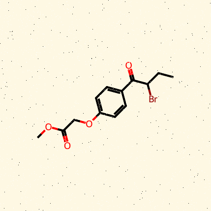 CCC(Br)C(=O)c1ccc(OCC(=O)OC)cc1